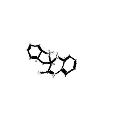 ClC1=Nc2ccccc2OC12Cc1ccccc1N2